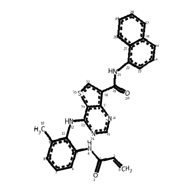 C=CC(=O)Nc1cccc(C)c1Nc1ncnc2c(C(=O)Nc3cccc4ccccc34)csc12